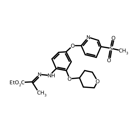 CCOC(=O)/C(C)=N/Nc1ccc(Oc2ccc(S(C)(=O)=O)cn2)cc1OC1CCOCC1